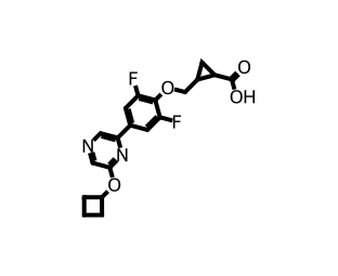 O=C(O)C1CC1COc1c(F)cc(-c2cncc(OC3CCC3)n2)cc1F